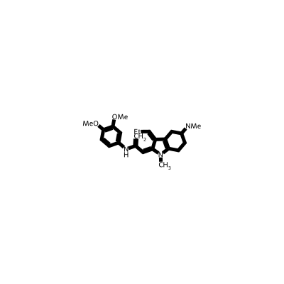 C=C(/C=c1\c(=C/CC)c2c(n1C)CCC(NC)C2)Nc1ccc(OC)c(OC)c1